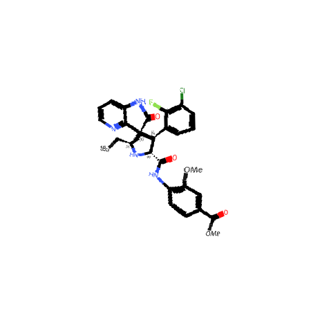 COC(=O)c1ccc(NC(=O)[C@@H]2N[C@@H](CC(C)(C)C)[C@@]3(C(=O)Nc4cccnc43)[C@H]2c2cccc(Cl)c2F)c(OC)c1